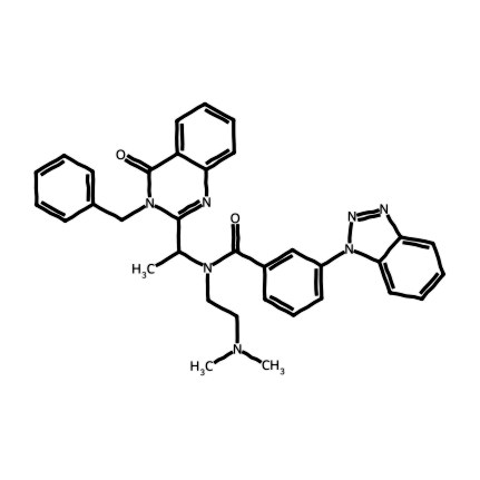 CC(c1nc2ccccc2c(=O)n1Cc1ccccc1)N(CCN(C)C)C(=O)c1cccc(-n2nnc3ccccc32)c1